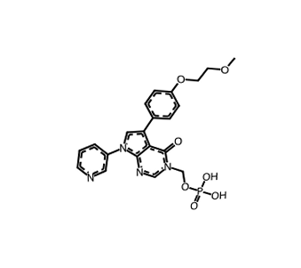 COCCOc1ccc(-c2cn(-c3cccnc3)c3ncn(COP(=O)(O)O)c(=O)c23)cc1